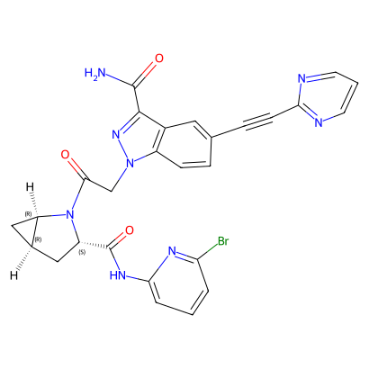 NC(=O)c1nn(CC(=O)N2[C@@H]3C[C@@H]3C[C@H]2C(=O)Nc2cccc(Br)n2)c2ccc(C#Cc3ncccn3)cc12